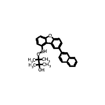 CC(C)(O)C(C)(C)OBc1cccc2oc3ccc(-c4ccc5ccccc5c4)cc3c12